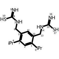 CC(C)c1cc(C(C)C)c(CNC(=N)S)cc1CNC(=N)S